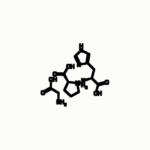 NCC(=O)O.N[C@@H](Cc1c[nH]cn1)C(=O)O.O=C(O)[C@@H]1CCCN1